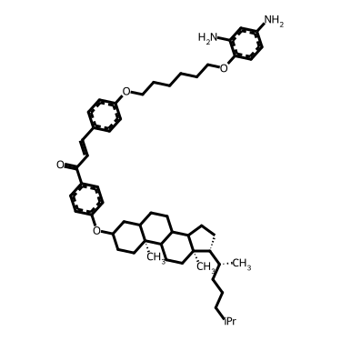 CC(C)CCC[C@@H](C)[C@H]1CCC2C3CCC4CC(Oc5ccc(C(=O)C=Cc6ccc(OCCCCCCOc7ccc(N)cc7N)cc6)cc5)CC[C@]4(C)C3CC[C@@]21C